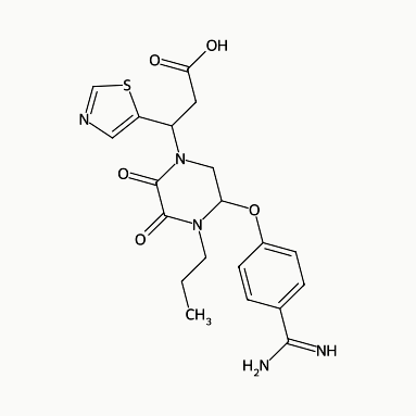 CCCN1C(=O)C(=O)N(C(CC(=O)O)c2cncs2)CC1Oc1ccc(C(=N)N)cc1